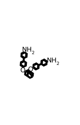 Nc1ccc(-c2ccc(OC34CC5CC(C3)CC(Oc3ccc(-c6ccc(N)cc6)cc3)(C5)C4)cc2)cc1